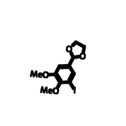 COc1cc(C2OCCO2)cc(I)c1OC